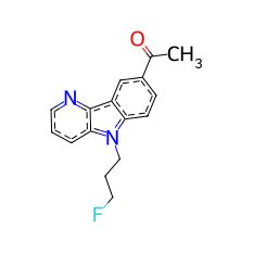 CC(=O)c1ccc2c(c1)c1ncccc1n2CCCF